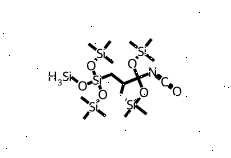 CC(C[Si](O[SiH3])(O[Si](C)(C)C)O[Si](C)(C)C)C(N=C=O)(O[Si](C)(C)C)O[Si](C)(C)C